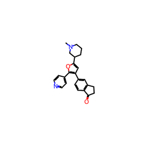 CN1CCCC(c2cc(-c3ccc4c(c3)CCC4=O)c(-c3ccncc3)o2)C1